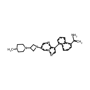 C=C(N)c1cccc2c(-c3cnn4cc(N5CC(N6CCN(C)CC6)C5)cnc34)cccc12